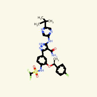 C[C@H](Oc1cc(-c2n[nH]c(Nc3cnc(C(C)(C)C)cn3)c2C(N)=O)ccc1NS(=O)(=O)C(F)F)c1ccc(F)cc1